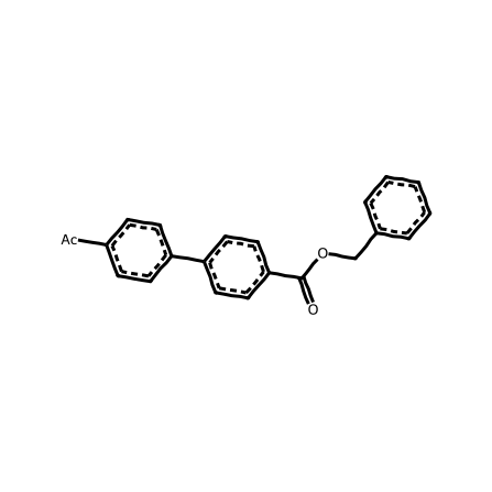 CC(=O)c1ccc(-c2ccc(C(=O)OCc3ccccc3)cc2)cc1